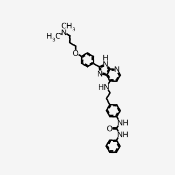 CN(C)CCCOc1ccc(-c2nc3c(NCCc4ccc(NC(=O)Nc5ccccc5)cc4)ccnc3[nH]2)cc1